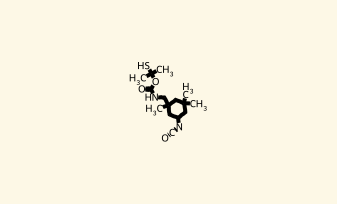 CC1(C)CC(N=C=O)CC(C)(CNC(=O)OC(C)(C)S)C1